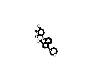 O=C1CCC(N2C(=O)c3ccc(N4CCCOCC4)c4cccc2c34)C(=O)N1I